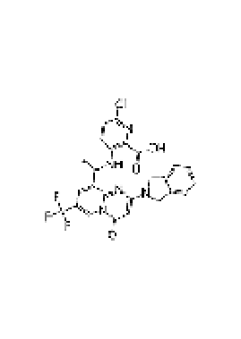 C[C@@H](Nc1ccc(Cl)nc1C(=O)O)c1cc(C(F)(F)F)cn2c(=O)cc(N3Cc4ccccc4C3)nc12